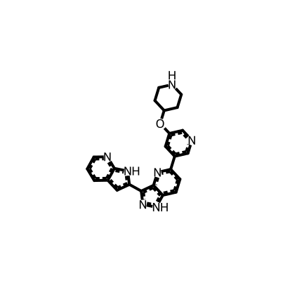 c1cnc2[nH]c(-c3n[nH]c4ccc(-c5cncc(OC6CCNCC6)c5)nc34)cc2c1